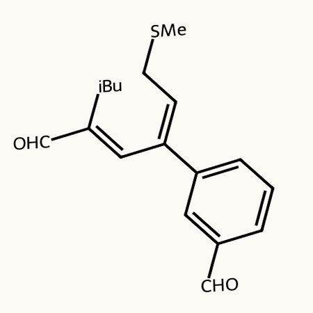 CCC(C)/C(C=O)=C\C(=C/CSC)c1cccc(C=O)c1